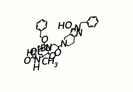 CC(C)(C)OC(=O)NC(C)(C)C(=O)N(COCc1ccccc1)CC(=O)N1CCc2nn(Cc3ccccc3)c(O)c2C1